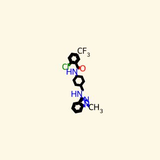 Cn1nc(NCC2CCC(NC(=O)c3cc(C(F)(F)F)ccc3Cl)CC2)c2ccccc21